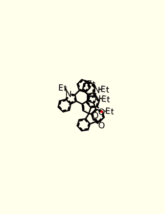 CCOc1cc(N(CC)CC)ccc1C1(C=C(c2c(-c3ccccc3)n(CC)c3ccccc23)c2c(-c3ccccc3)n(CC)c3ccccc23)OC(=O)c2ccccc21